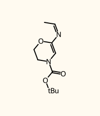 C/C=N\C1=CN(C(=O)OC(C)(C)C)CCO1